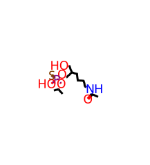 CC(=O)NCCCCC(CO)COP(O)(=S)OC(C)C